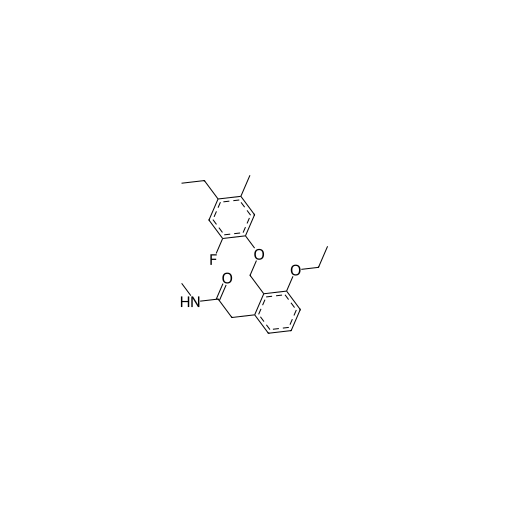 CCOc1cccc(CC(=O)NC)c1COc1cc(C)c(CC)cc1F